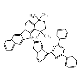 CC1(C)CCC(C)(C)c2c1ccc1c3cc4ccccc4cc3n(C3=CC=C4C(c5nc(C6=CC=CCC6)nc(C6C=CC=CC6)n5)=CC=CC4C3)c21